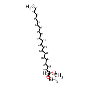 CCCCCCCCCCCCCCCCCCCCC[SiH](OC)OC